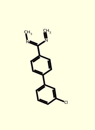 C=N/C(=N\C)c1ccc(-c2cccc(Cl)c2)cc1